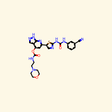 N#Cc1cccc(NC(=O)Nc2ncc(-c3cc(OC(=O)NCCN4CCOCC4)c4cn[nH]c4n3)s2)c1